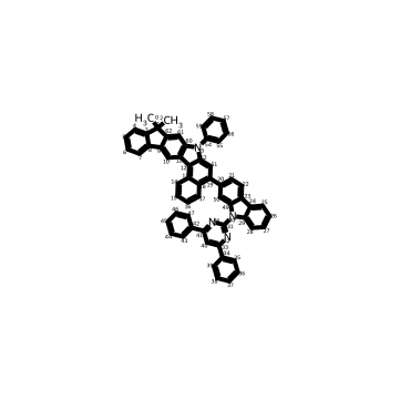 CC1(C)c2ccccc2-c2cc3c4c5ccccc5c(-c5ccc6c7ccccc7n(-c7nc(-c8ccccc8)cc(-c8ccccc8)n7)c6c5)cc4n(-c4ccccc4)c3cc21